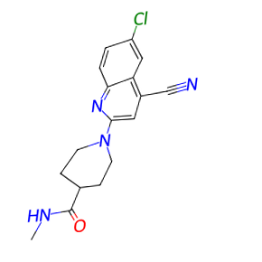 CNC(=O)C1CCN(c2cc(C#N)c3cc(Cl)ccc3n2)CC1